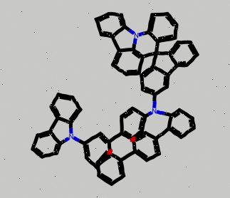 c1ccc(-c2ccc(-c3ccccc3N(c3ccc(-c4cccc(-n5c6ccccc6c6ccccc65)c4)cc3)c3ccc4c(c3)-c3ccccc3C43c4ccccc4-n4c5ccccc5c5cccc3c54)cc2)cc1